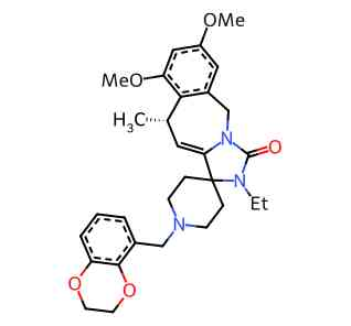 CCN1C(=O)N2Cc3cc(OC)cc(OC)c3[C@@H](C)C=C2C12CCN(Cc1cccc3c1OCCO3)CC2